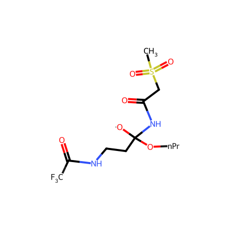 CCCOC([O])(CCNC(=O)C(F)(F)F)NC(=O)CS(C)(=O)=O